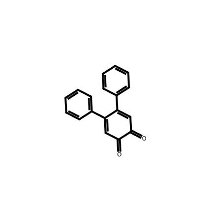 O=C1C=C(c2ccccc2)C(c2ccccc2)=CC1=O